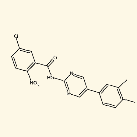 Cc1ccc(-c2cnc(NC(=O)c3cc(Cl)ccc3[N+](=O)[O-])nc2)cc1C